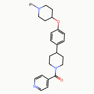 CC(C)N1CCC(Oc2ccc(C3CCN(C(=O)c4ccncc4)CC3)cc2)CC1